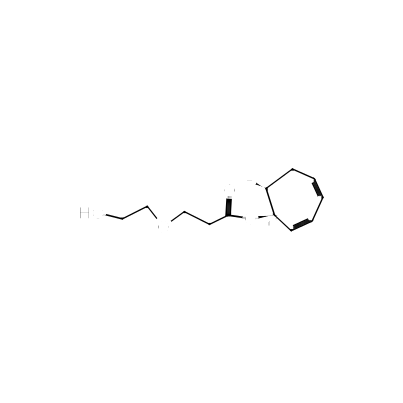 O=C(CCOCCO)O[C@@H]1C=CC=CC[C@@H]1F